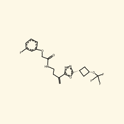 C=C(CCNC(=O)COc1cccc(F)c1)c1nnc([C@H]2C[C@@H](OC(F)(F)F)C2)o1